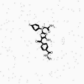 CC(C)NC(=O)c1ccc(C(=O)c2sc(N(c3ccc(F)cc3)[C@H](C)C(N)=O)nc2N)cc1